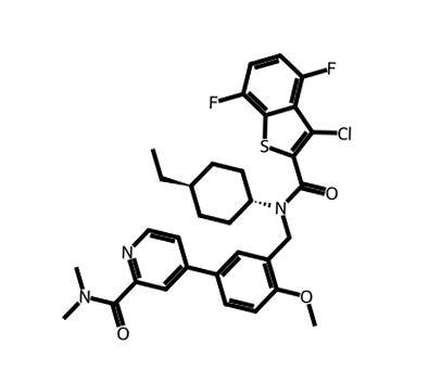 CC[C@H]1CC[C@H](N(Cc2cc(-c3ccnc(C(=O)N(C)C)c3)ccc2OC)C(=O)c2sc3c(F)ccc(F)c3c2Cl)CC1